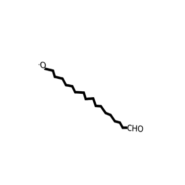 [O]CCCCCCCCCCCCCCCCCC=O